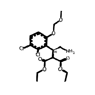 CCOC(=O)C(C(=O)OCC)[C@H](CN)c1c(OCOC)ccc(Cl)c1Cl